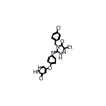 CCc1n[nH]/c(=N\c2ccc(Oc3cn[nH]c(=O)c3)cc2)n(Cc2ccc(Cl)cc2)c1=O